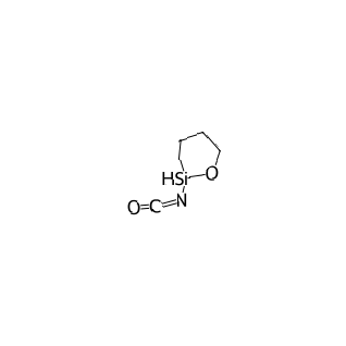 O=C=N[SiH]1CCCCO1